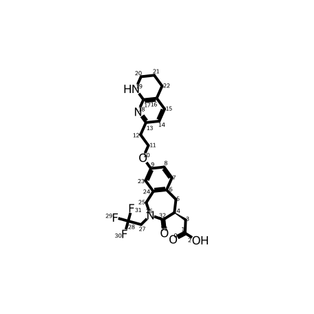 O=C(O)C[C@@H]1Cc2ccc(OCCc3ccc4c(n3)NCCC4)cc2CN(CC(F)(F)F)C1=O